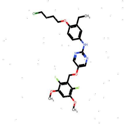 CCc1cc(Nc2ncc(OCc3c(F)c(OC)cc(OC)c3F)cn2)ccc1OCCCCCl